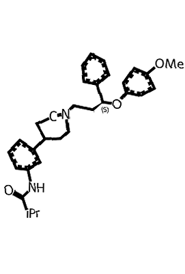 COc1ccc(O[C@@H](CCN2CCC(c3cccc(NC(=O)C(C)C)c3)CC2)c2ccccc2)cc1